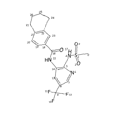 CS(=O)(=O)Nc1ncc(C(F)(F)F)cc1NC(=O)c1ccc2c(c1)CCCC2